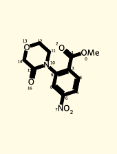 COC(=O)c1ccc([N+](=O)[O-])cc1N1CCOCC1=O